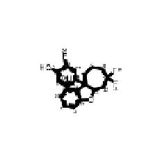 Oc1ccc(C23CCCC(F)(F)CC2Oc2cccc(P)c23)cc1F